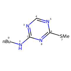 CCCCNc1ncnc(SC)n1